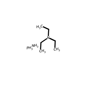 CCN(CC)CC.N.P